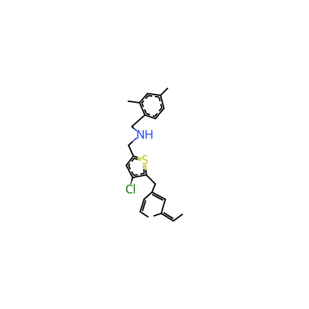 C\C=C/C(=C\C(C)=C/C)Cc1sc(CNCc2ccc(C)cc2C)cc1Cl